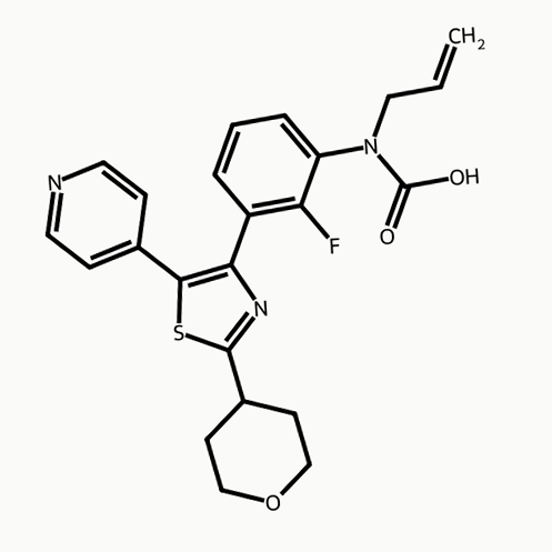 C=CCN(C(=O)O)c1cccc(-c2nc(C3CCOCC3)sc2-c2ccncc2)c1F